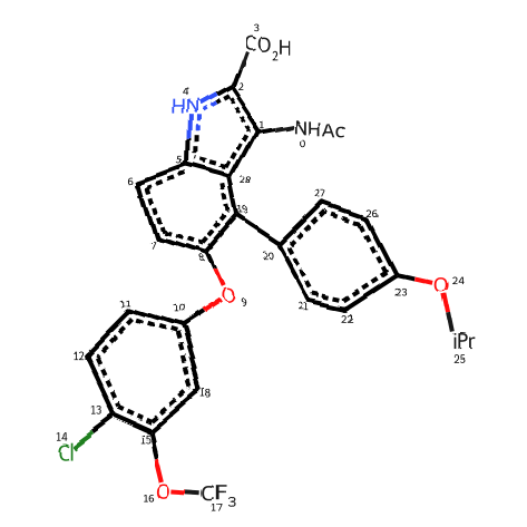 CC(=O)Nc1c(C(=O)O)[nH]c2ccc(Oc3ccc(Cl)c(OC(F)(F)F)c3)c(-c3ccc(OC(C)C)cc3)c12